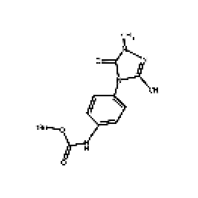 Cc1nn(C)c(=O)n1-c1ccc(NC(=O)OC(C)(C)C)cc1